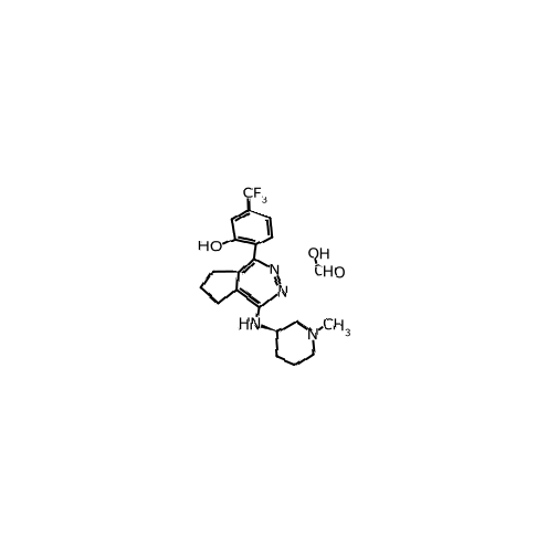 CN1CCC[C@@H](Nc2nnc(-c3ccc(C(F)(F)F)cc3O)c3c2CCC3)C1.O=CO